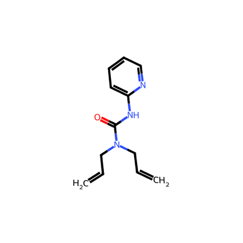 C=CCN(CC=C)C(=O)Nc1ccccn1